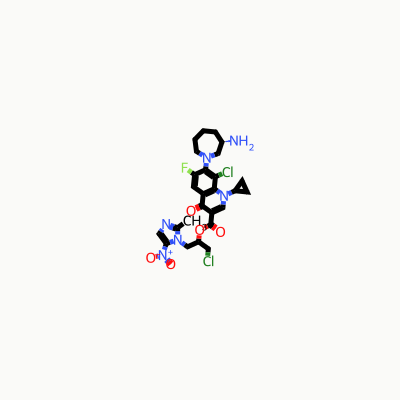 Cc1ncc([N+](=O)[O-])n1CC(CCl)OC(=O)c1cn(C2CC2)c2c(Cl)c(N3CCCC[C@H](N)C3)c(F)cc2c1=O